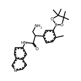 Cc1ccc(C(CN)C(=O)Nc2ccc3cnccc3c2)cc1B1OC(C)(C)C(C)(C)O1